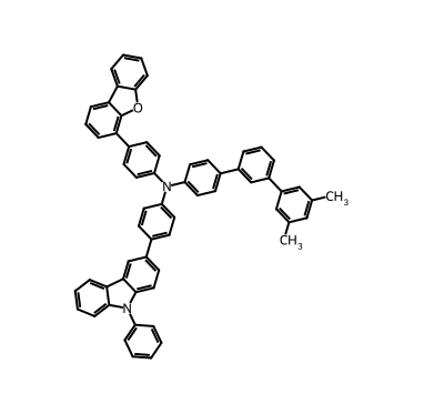 Cc1cc(C)cc(-c2cccc(-c3ccc(N(c4ccc(-c5ccc6c(c5)c5ccccc5n6-c5ccccc5)cc4)c4ccc(-c5cccc6c5oc5ccccc56)cc4)cc3)c2)c1